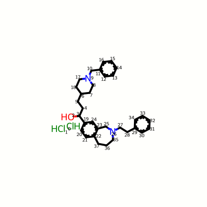 Cl.Cl.OC(CCC1CCN(Cc2ccccc2)CC1)c1ccc2c(c1)CN(CCc1ccccc1)CCC2